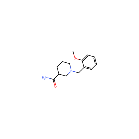 COc1ccccc1CN1CCCC(C(N)=O)C1